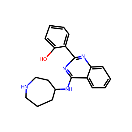 Oc1ccccc1-c1nc(NC2CCCNCC2)c2ccccc2n1